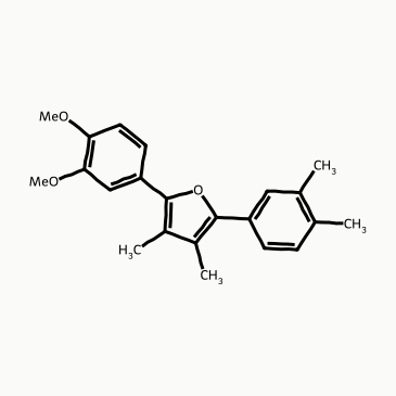 COc1ccc(-c2oc(-c3ccc(C)c(C)c3)c(C)c2C)cc1OC